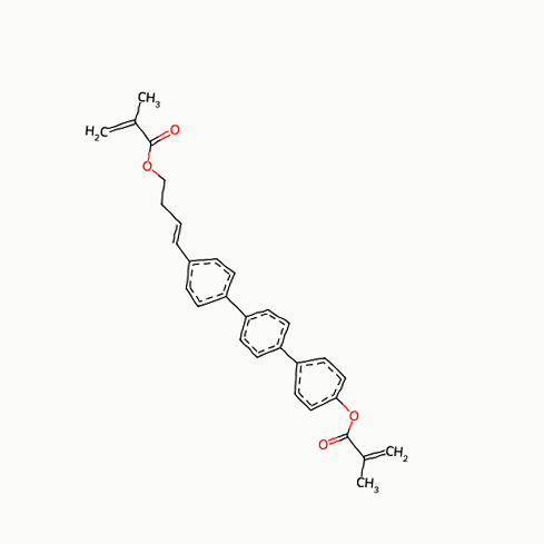 C=C(C)C(=O)OCC/C=C/c1ccc(-c2ccc(-c3ccc(OC(=O)C(=C)C)cc3)cc2)cc1